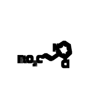 CCOC(=O)/C=C/c1ncccc1Cl